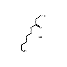 CCCCCCCCCCCCOC(=O)CS(=O)(=O)O.[KH]